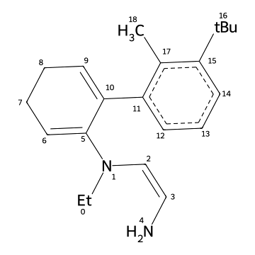 CCN(/C=C\N)C1=CCCC=C1c1cccc(C(C)(C)C)c1C